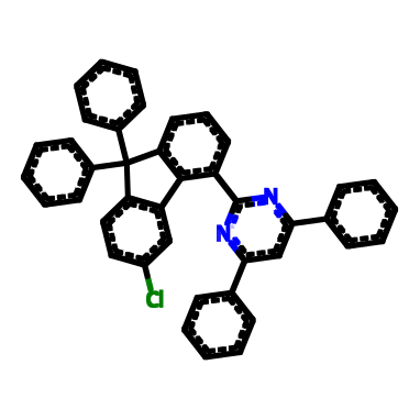 Clc1ccc2c(c1)-c1c(-c3nc(-c4ccccc4)cc(-c4ccccc4)n3)cccc1C2(c1ccccc1)c1ccccc1